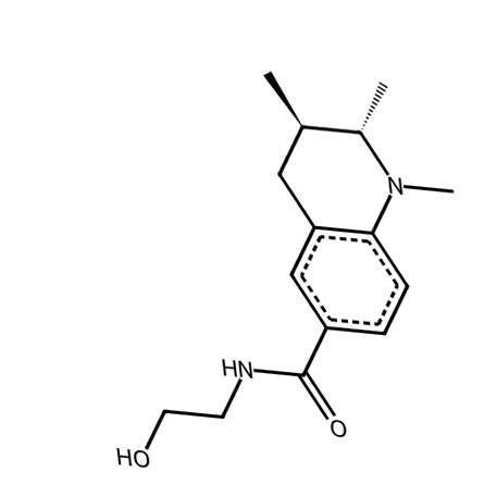 C[C@@H]1Cc2cc(C(=O)NCCO)ccc2N(C)[C@H]1C